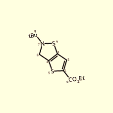 CCOC(=O)c1cc2c(s1)CN(C(C)(C)C)S2